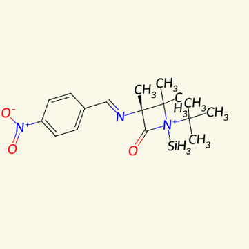 CC(C)(C)[N+]1([SiH3])C(=O)[C@](C)(N=Cc2ccc([N+](=O)[O-])cc2)C1(C)C